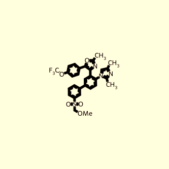 COCS(=O)(=O)c1cccc(-c2ccc(-n3cc(C)nc3C)c(-c3nc(C)oc3-c3ccc(OC(F)(F)F)cc3)c2)c1